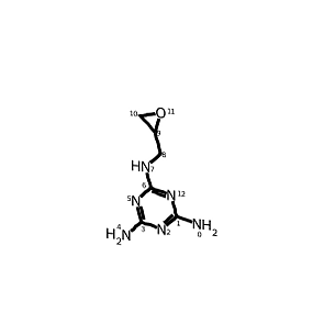 Nc1nc(N)nc(NCC2CO2)n1